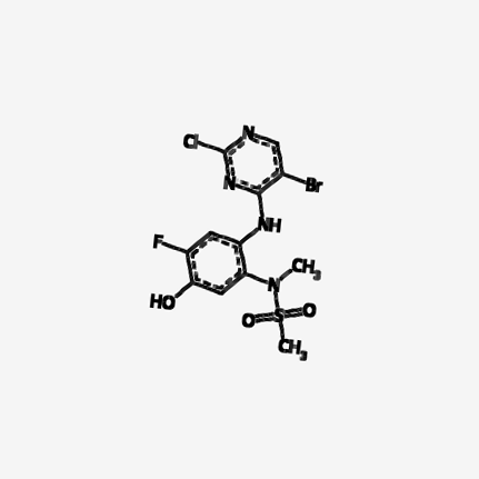 CN(c1cc(O)c(F)cc1Nc1nc(Cl)ncc1Br)S(C)(=O)=O